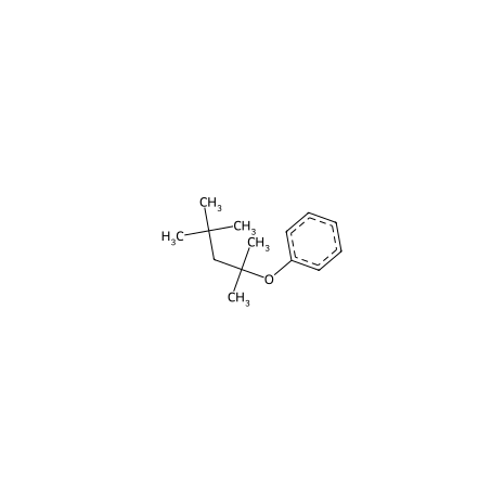 CC(C)(C)CC(C)(C)Oc1ccccc1